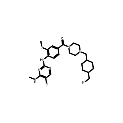 CNc1nc(Nc2ccc(C(=O)N3CCN(CC4CCC(CBr)CC4)CC3)cc2OC)ncc1Cl